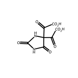 O=C1NC(=O)C(C(=O)C(=O)O)(C(=O)C(=O)O)N1